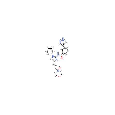 O=C(Nc1nc(CCC[N+]2([O-])CCOCC2)cn1-c1ccccc1)c1cccc(-c2cn[nH]c2)c1